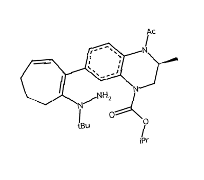 CC(=O)N1c2ccc(C3=C(N(N)C(C)(C)C)CCCC=C3)cc2N(C(=O)OC(C)C)C[C@@H]1C